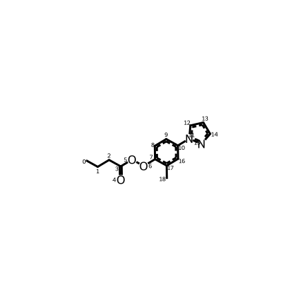 CCCC(=O)OOc1ccc(-n2cccn2)cc1C